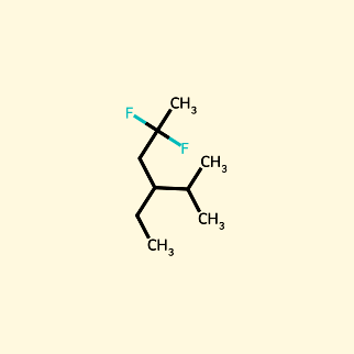 CCC(CC(C)(F)F)C(C)C